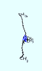 CCCCCCCCCCCCCCCCCCCN1C=CN(CCCCCCCCCCCCCCCCC)C1C(C)C